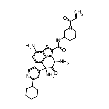 C=CC(=O)N1CCCC(NC(=O)c2sc3c(N)ccc4c3c2C(N)C(=O)C4(N)c2ccnc(C3CCCCC3)c2)C1